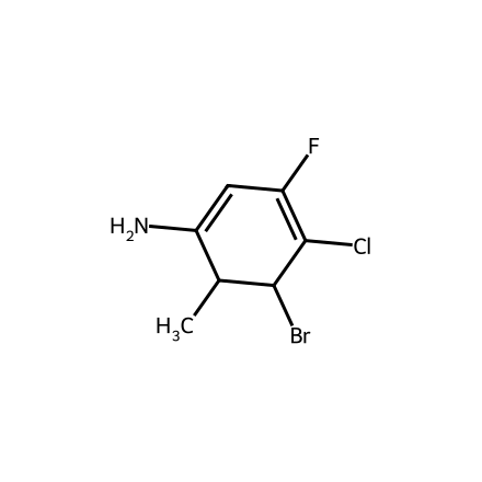 CC1C(N)=CC(F)=C(Cl)C1Br